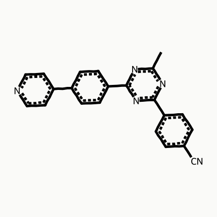 Cc1nc(-c2ccc(C#N)cc2)nc(-c2ccc(-c3ccncc3)cc2)n1